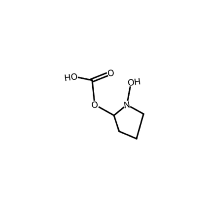 O=C(O)OC1CCCN1O